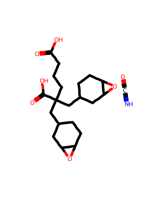 N=C=O.O=C(O)CCCC(CC1CCC2OC2C1)(CC1CCC2OC2C1)C(=O)O